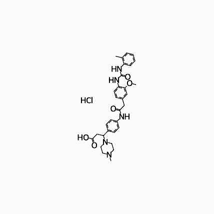 COc1cc(CC(=O)Nc2ccc(C(CC(=O)O)N3CCN(C)CC3)cc2)ccc1NC(=O)Nc1ccccc1C.Cl